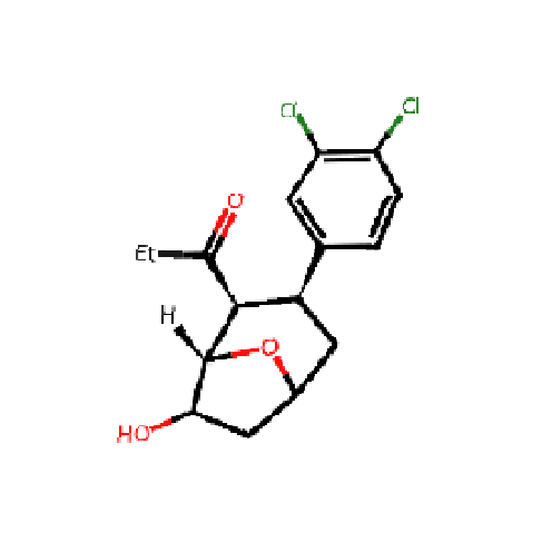 CCC(=O)[C@H]1[C@@H](c2ccc(Cl)c(Cl)c2)CC2CC(O)[C@H]1O2